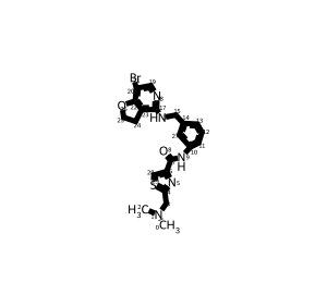 CN(C)Cc1nc(C(=O)Nc2cccc(CNc3ncc(Br)c4c3CCO4)c2)cs1